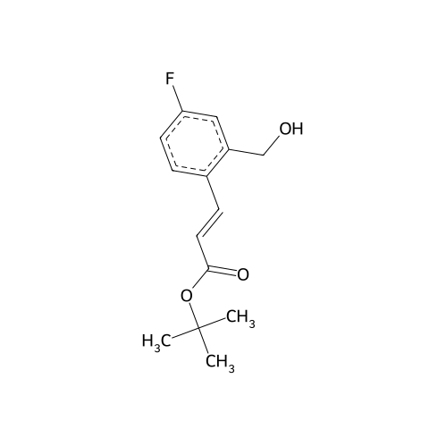 CC(C)(C)OC(=O)/C=C/c1ccc(F)cc1CO